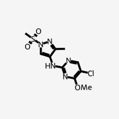 COc1nc(Nc2cn(S(C)(=O)=O)nc2C)ncc1Cl